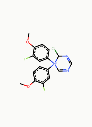 COc1ccc([N+]2(c3ccc(OC)c(F)c3)C=NC=NC2Cl)cc1F